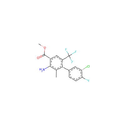 COC(=O)c1cc(C(F)(F)F)c(-c2ccc(F)c(Cl)c2)c(C)c1N